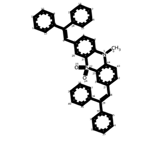 CN1c2ccc(C=C(c3ccccc3)c3ccccc3)cc2S(=O)(=O)c2cc(C=C(c3ccccc3)c3ccccc3)ccc21